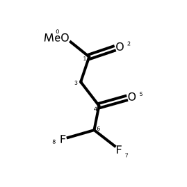 COC(=O)CC(=O)C(F)F